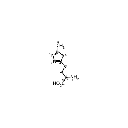 Cc1nnc(SC[C@@H](N)C(=O)O)s1